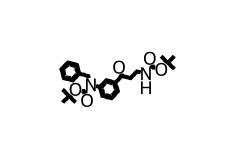 CC(C)(C)OC(=O)NCCC(=O)c1cccc(N(Cc2ccccc2)C(=O)OC(C)(C)C)c1